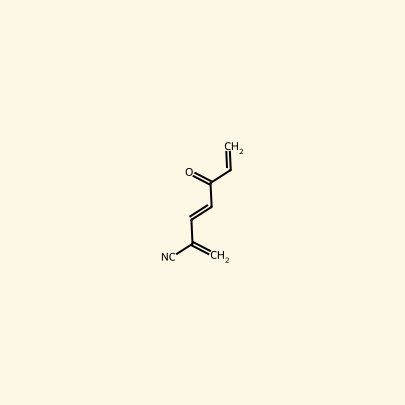 C=CC(=O)C=CC(=C)C#N